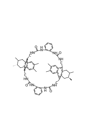 Cc1cc2c3c4c(c(c2cc1C)CNC(=O)Nc1ccccc1NC(=O)NCc1c2c(c(c5cc(C)c(C)cc15)CNC(=O)Nc1ccccc1NC(=O)NC3)CC(C)[C@@H](C)C2)C[C@H](C)C(C)C4